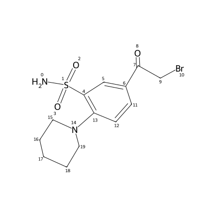 NS(=O)(=O)c1cc(C(=O)CBr)ccc1N1CCCCC1